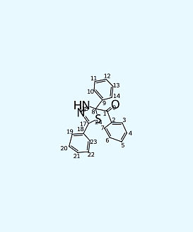 O=C(c1ccccc1)C1(c2ccccc2)NN=C(c2ccccc2)S1